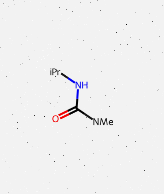 CNC(=O)NC(C)C